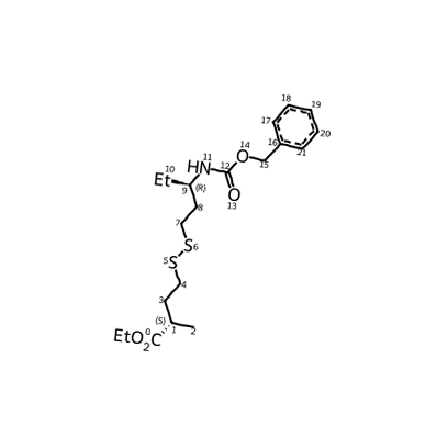 CCOC(=O)[C@@H](C)CCSSCC[C@@H](CC)NC(=O)OCc1ccccc1